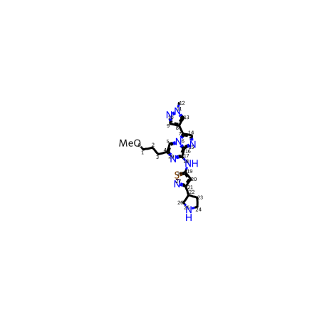 COCCCc1cn2c(-c3cnn(C)c3)cnc2c(Nc2cc(C3CCNC3)ns2)n1